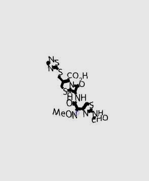 CO/N=C(\C(=O)NC1C(=O)N2C(C(=O)O)=C(CSc3ncns3)CS[C@H]12)c1csc(NC=O)n1